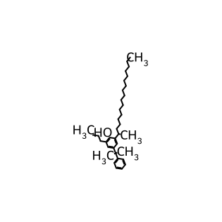 CCCCCCCCCCCCCCCCC(C)c1cc(C(C)(C)c2ccccc2)cc(CCCC)c1O